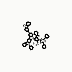 Cc1cc(-n2c3ccc(-c4ccc5oc6ccccc6c5c4)cc3c3cc4c5ccccc5n(-c5ccccc5)c4cc32)c2c(oc3ccccc32)c1-c1nc(-c2ccccc2)nc(-c2ccccc2)n1